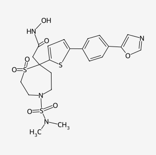 CN(C)S(=O)(=O)N1CCC(CC(=O)NO)(c2ccc(-c3ccc(-c4cnco4)cc3)s2)S(=O)(=O)CC1